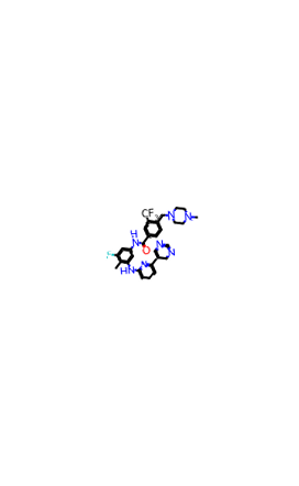 Cc1c(F)cc(NC(=O)c2ccc(CN3CCN(C)CC3)c(C(F)(F)F)c2)cc1Nc1cccc(-c2cncnc2)n1